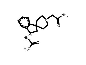 CC(=O)N[C@H]1CC2(CCN(CC(N)=O)CC2)c2ccccc21